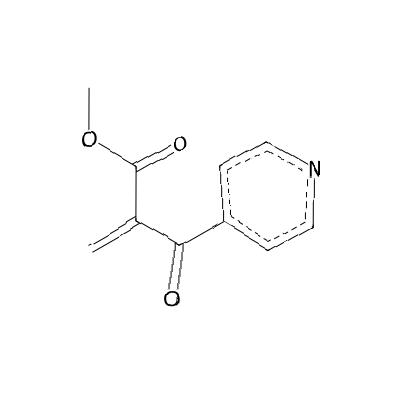 C=C(C(=O)OC)C(=O)c1ccncc1